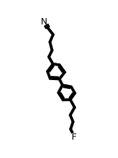 N#CCCCCc1ccc(-c2ccc(CCCCF)cc2)cc1